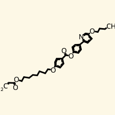 C=CC(=O)OCCCCCCCCOc1ccc(C(=O)Oc2ccc(-c3ccc(OCCCC)cn3)cc2)cc1